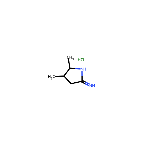 CC1CC(=N)NC1C.Cl